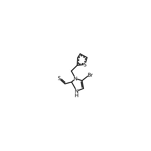 S=CC1NC=C(Br)N1Cc1cccs1